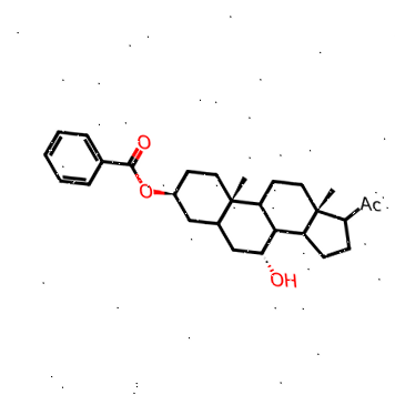 CC(=O)C1CCC2C3C(CC[C@]12C)[C@@]1(C)CC[C@H](OC(=O)c2ccccc2)CC1C[C@H]3O